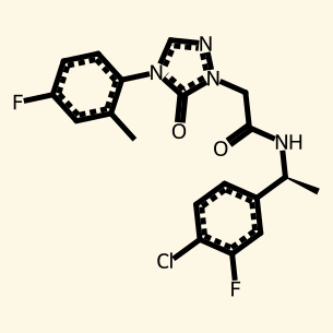 Cc1cc(F)ccc1-n1cnn(CC(=O)N[C@@H](C)c2ccc(Cl)c(F)c2)c1=O